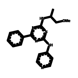 COCC(C)Nc1nc(Nc2ccncc2)nc(-c2ccccc2)n1